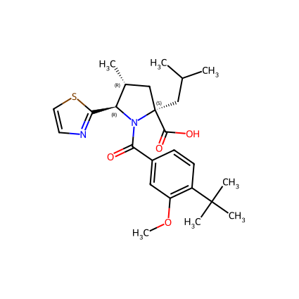 COc1cc(C(=O)N2[C@@H](c3nccs3)[C@H](C)C[C@@]2(CC(C)C)C(=O)O)ccc1C(C)(C)C